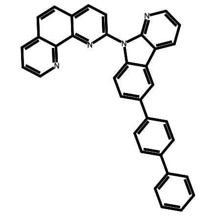 c1ccc(-c2ccc(-c3ccc4c(c3)c3cccnc3n4-c3ccc4ccc5cccnc5c4n3)cc2)cc1